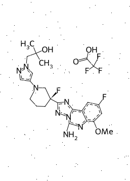 COc1cc(F)cc2c1nc(N)n1nc([C@]3(F)CCCN(c4cnn(CC(C)(C)O)c4)C3)nc21.O=C(O)C(F)(F)F